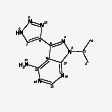 CC(C)n1nc(-c2c[nH]nn2)c2c(N)ncnc21